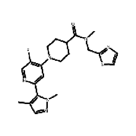 Cc1cnn(C)c1-c1cc(N2CCC(C(=O)N(C)Cc3nccs3)CC2)c(F)cn1